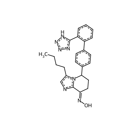 CCCCc1cnc2n1C(c1ccc(-c3ccccc3-c3nnn[nH]3)cc1)CCC2=NO